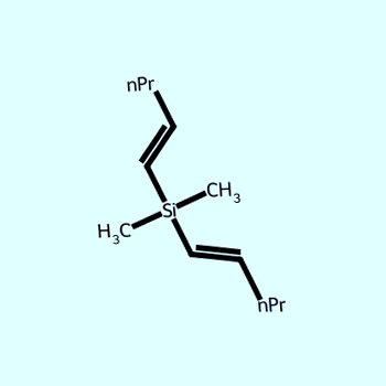 CCCC=C[Si](C)(C)C=CCCC